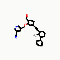 Cc1c(C#Cc2ccc(C=O)c(OCc3cncc(C#N)c3)c2)cccc1-c1ccccc1